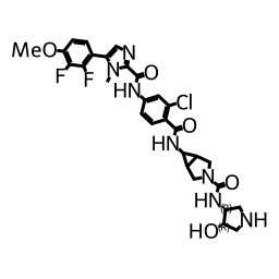 COc1ccc(-c2cnc(C(=O)Nc3ccc(C(=O)NC4C5CN(C(=O)N[C@@H]6CNC[C@H]6O)CC54)c(Cl)c3)n2C)c(F)c1F